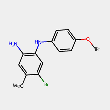 COc1cc(N)c(Nc2ccc(OC(C)C)cc2)cc1Br